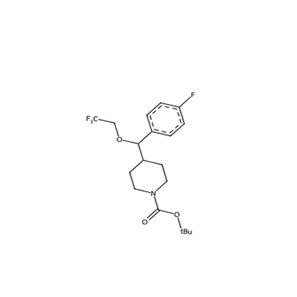 CC(C)(C)OC(=O)N1CCC(C(OCC(F)(F)F)c2ccc(F)cc2)CC1